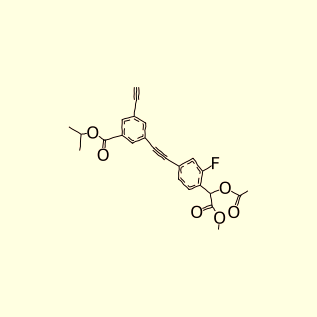 C#Cc1cc(C#Cc2ccc(C(OC(C)=O)C(=O)OC)c(F)c2)cc(C(=O)OC(C)C)c1